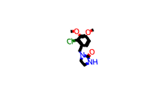 COc1ccc(CN2CCNC2=O)c(Cl)c1OC